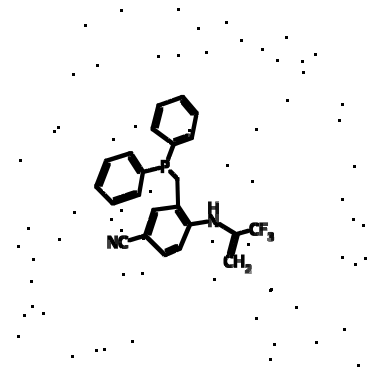 C=C(Nc1ccc(C#N)cc1CP(c1ccccc1)c1ccccc1)C(F)(F)F